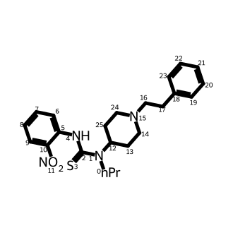 CCCN(C(=S)Nc1ccccc1[N+](=O)[O-])C1CCN(CCc2ccccc2)CC1